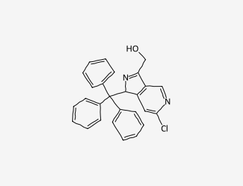 OCC1=NC(C(c2ccccc2)(c2ccccc2)c2ccccc2)c2cc(Cl)ncc21